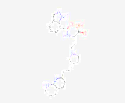 O=C(N[C@@H](CCN1CC[C@H](CCc2ccc3c(n2)NCCC3)C1)C(=O)O)c1cccc2cn[nH]c12